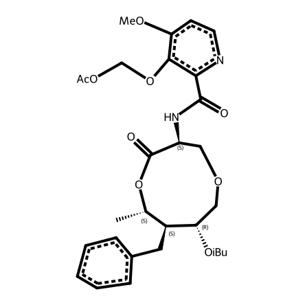 COc1ccnc(C(=O)N[C@H]2COC[C@H](OCC(C)C)[C@@H](Cc3ccccc3)[C@H](C)OC2=O)c1OCOC(C)=O